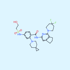 O=C(Nc1cc2c(c(N3CCC(F)(F)CC3)n1)CCC2)c1ccc(NS(=O)(=O)CCO)cc1N1CCC2(CC1)CC2